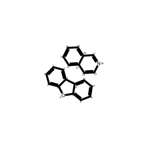 c1ccc2c(c1)oc1ccccc12.c1ccc2cnccc2c1